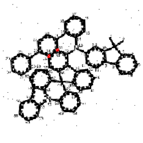 CC1(C)c2ccccc2-c2ccc(N(c3ccccc3-c3ccc(-c4ccccc4)cc3)c3cccc4c3-c3ccccc3C43c4ccccc4-n4c5ccccc5c5cccc3c54)cc21